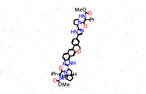 COC(=O)N[C@H](C(=O)N1CCCC1c1ncc(-c2ccc3c(c2)COc2cc4c(ccc5nc([C@@H]6C[C@@H]7CCC[C@@H]7N6C(=O)[C@@H](NC(=O)OC)C(C)C)[nH]c54)cc2-3)[nH]1)C(C)C